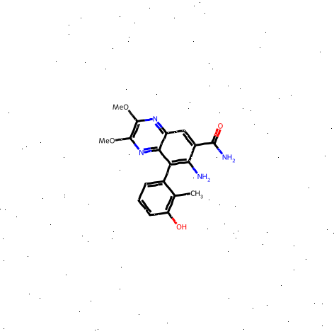 COc1nc2cc(C(N)=O)c(N)c(-c3cccc(O)c3C)c2nc1OC